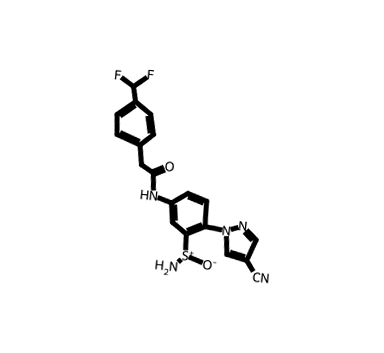 N#Cc1cnn(-c2ccc(NC(=O)Cc3ccc(C(F)F)cc3)cc2[S+](N)[O-])c1